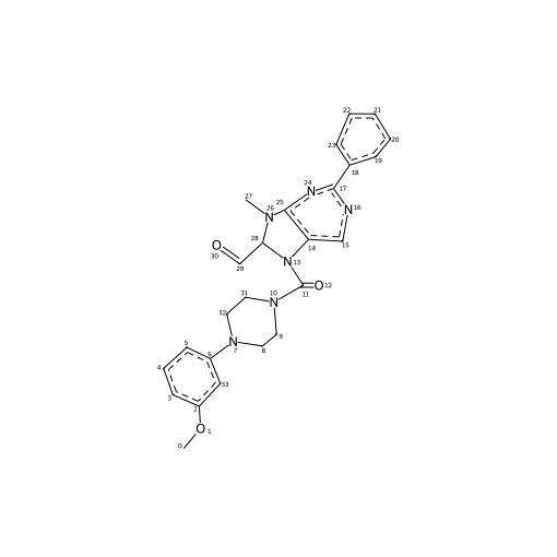 COc1cccc(N2CCN(C(=O)N3c4cnc(-c5ccccc5)nc4N(C)C3C=O)CC2)c1